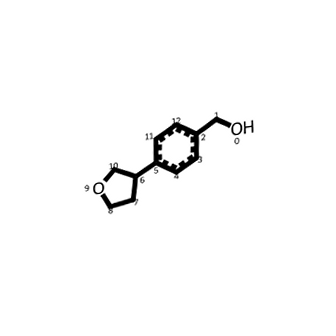 OCc1ccc(C2CCOC2)cc1